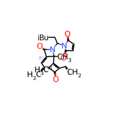 C=C/C=C1/C(=O)N(C(CC(C)CC)N2C(=O)C=CC2=O)C1(C)C1=C(C=C)C(=O)[C@H]1C